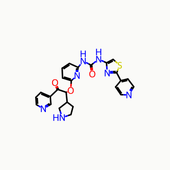 O=C(Nc1cccc(OC(C(=O)c2cccnc2)C2CCNC2)n1)Nc1csc(-c2ccncc2)n1